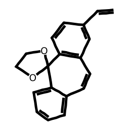 C=Cc1ccc2c(c1)C=Cc1ccccc1C21OCCO1